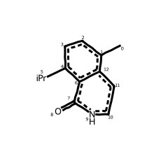 Cc1ccc(C(C)C)c2c(=O)[nH]ccc12